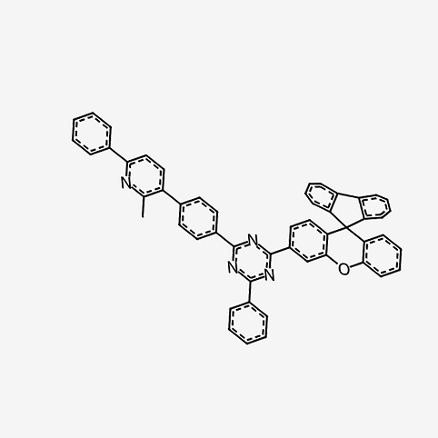 Cc1nc(-c2ccccc2)ccc1-c1ccc(-c2nc(-c3ccccc3)nc(-c3ccc4c(c3)Oc3ccccc3C43c4ccccc4-c4ccccc43)n2)cc1